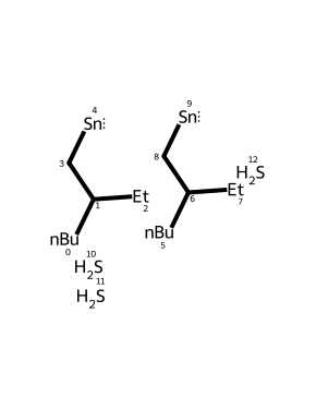 CCCCC(CC)[CH2][Sn].CCCCC(CC)[CH2][Sn].S.S.S